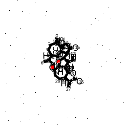 C=C1CC[C@H]2C(=C)C(=O)O[C@@H]2C2[C@H]1CC(=O)[C@]21CC[C@]2(O)[C@@H]3[C@H]4OC(=O)C(=C)[C@@H]4CCC(=C)[C@@H]3C[C@]12OC(=O)CC